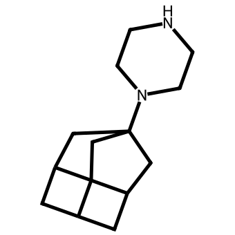 C1CN(C23CC4CC5CC(C2)C54C3)CCN1